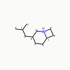 CC(C)CC1CCC2CCN2C1